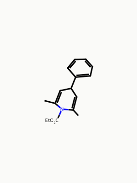 CCOC(=O)N1C(C)=CC(c2ccccc2)C=C1C